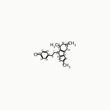 Cc1cc2c3c(n(CCc4ccc(Cl)cc4)c2s1)C(C)CN(C)C3